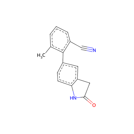 Cc1cccc(C#N)c1-c1ccc2c(c1)CC(=O)N2